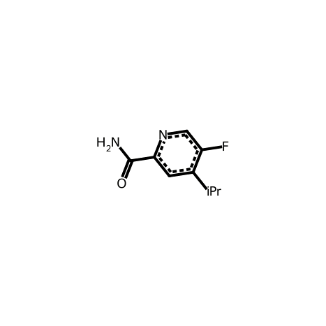 CC(C)c1cc(C(N)=O)ncc1F